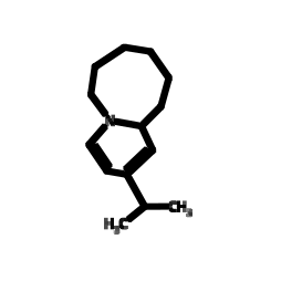 CC(C)C1=CC2CCCCCCN2C=C1